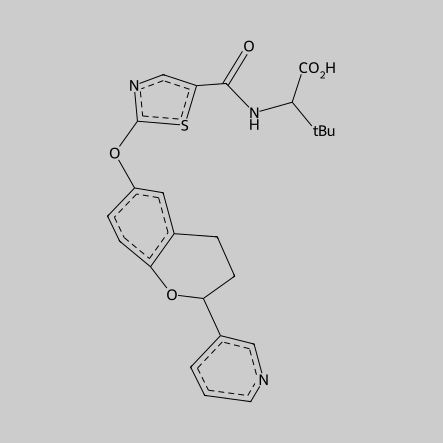 CC(C)(C)C(NC(=O)c1cnc(Oc2ccc3c(c2)CCC(c2cccnc2)O3)s1)C(=O)O